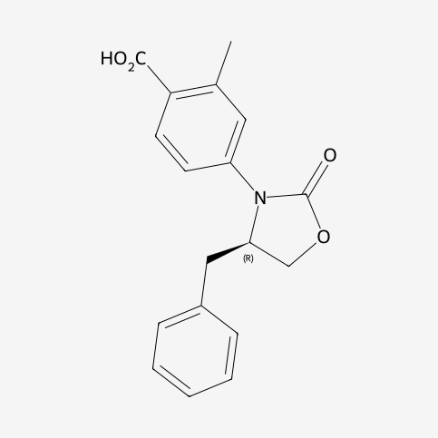 Cc1cc(N2C(=O)OC[C@H]2Cc2ccccc2)ccc1C(=O)O